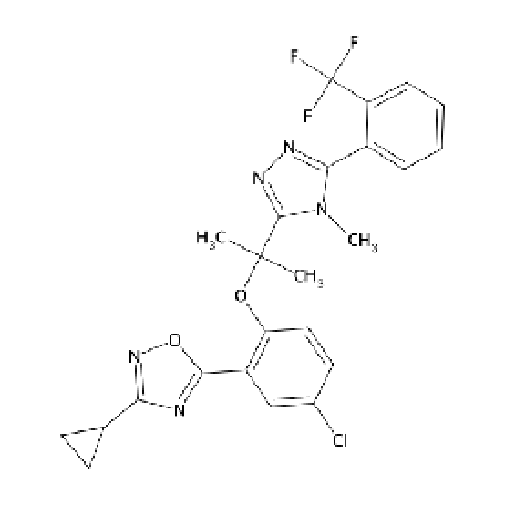 Cn1c(-c2ccccc2C(F)(F)F)nnc1C(C)(C)Oc1ccc(Cl)cc1-c1nc(C2CC2)no1